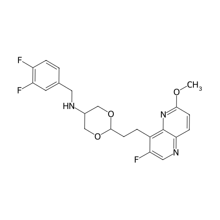 COc1ccc2ncc(F)c(CCC3OCC(NCc4ccc(F)c(F)c4)CO3)c2n1